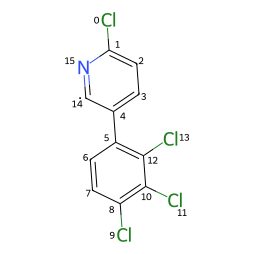 Clc1ccc(-c2ccc(Cl)c(Cl)c2Cl)[c]n1